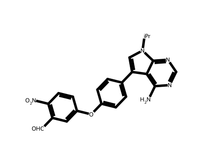 CC(C)n1cc(-c2ccc(Oc3ccc([N+](=O)[O-])c(C=O)c3)cc2)c2c(N)ncnc21